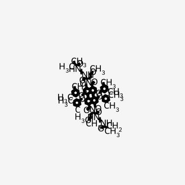 C=C(C)C(=O)NCCNC(=O)C(CCOC)N1C(=O)c2cc(Oc3cc(C)cc(C)c3)c3c4c(Oc5cc(C)cc(C)c5)cc5c6c(cc(Oc7cc(C)cc(C)c7)c(c7c(Oc8cc(C)cc(C)c8)cc(c2c37)C1=O)c64)C(=O)N(C(CCOC)C(=O)NCCNC(=O)C(C)C)C5=O